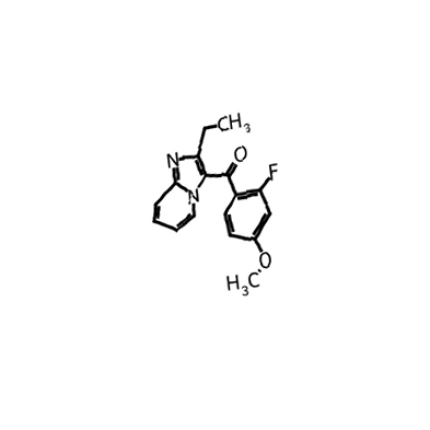 CCc1nc2ccccn2c1C(=O)c1ccc(OC)cc1F